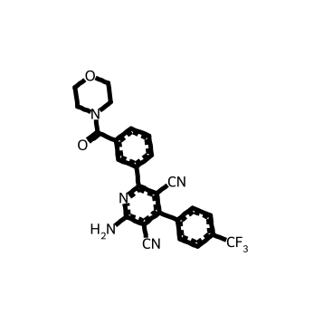 N#Cc1c(N)nc(-c2cccc(C(=O)N3CCOCC3)c2)c(C#N)c1-c1ccc(C(F)(F)F)cc1